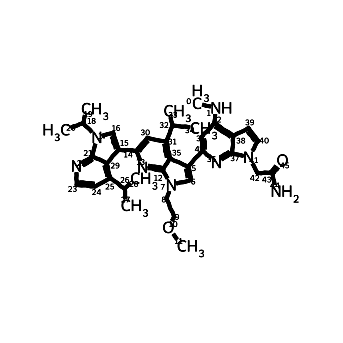 CNc1cc(-c2cn(CCOC)c3nc(-c4cn(C(C)C)c5nccc(C(C)C)c45)cc(C(C)C)c23)nc2c1ccn2CC(N)=O